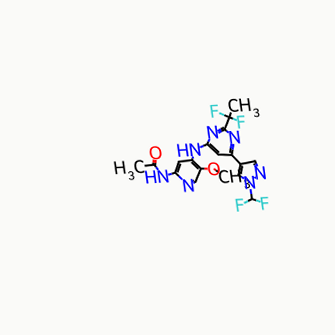 COc1cnc(NC(C)=O)cc1Nc1cc(-c2cnn(C(F)F)c2)nc(C(C)(F)F)n1